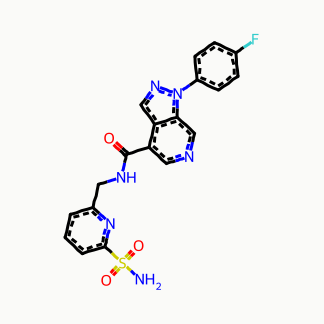 NS(=O)(=O)c1cccc(CNC(=O)c2cncc3c2cnn3-c2ccc(F)cc2)n1